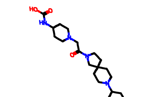 O=C(O)NC1CCN(CC(=O)N2CCC3(CCN(C4CCCCC4)CC3)C2)CC1